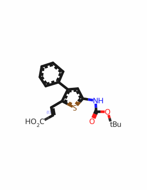 CC(C)(C)OC(=O)Nc1cc(-c2ccccc2)c(/C=C/C(=O)O)s1